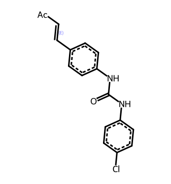 CC(=O)/C=C/c1ccc(NC(=O)Nc2ccc(Cl)cc2)cc1